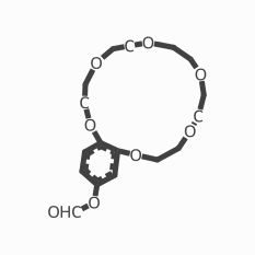 O=COc1ccc2c(c1)OCCOCCOCCOCCOCCO2